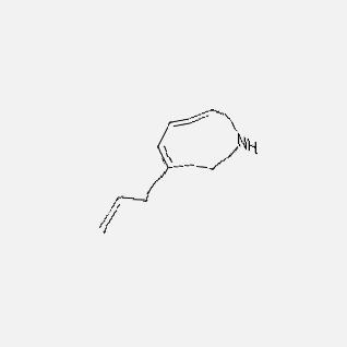 C=CCC1=CC=CNC1